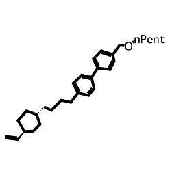 C=C[C@H]1CC[C@H](CCCCc2ccc(-c3ccc(COCCCCC)cc3)cc2)CC1